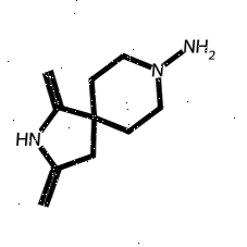 C=C1CC2(CCN(N)CC2)C(=C)N1